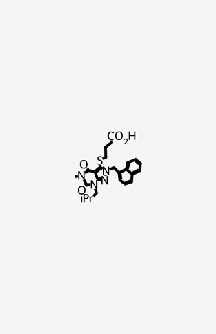 CC(C)Cn1c(=O)n(C)c(=O)c2c(SCCCC(=O)O)n(Cc3cccc4ccccc34)nc21